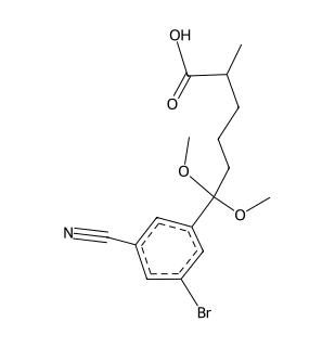 COC(CCCC(C)C(=O)O)(OC)c1cc(Br)cc(C#N)c1